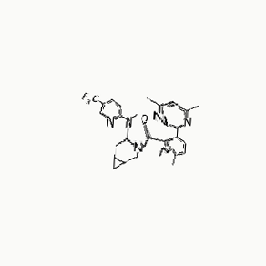 Cc1cc(C)nc(-c2ccc(C)nc2C(=O)N2CC3CC3CC2N(C)c2ccc(C(F)(F)F)cn2)n1